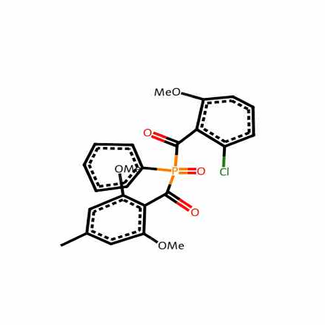 COc1cccc(Cl)c1C(=O)P(=O)(C(=O)c1c(OC)cc(C)cc1OC)c1ccccc1